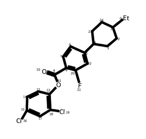 CCC1CCC(c2ccc(C(=O)Oc3ccc(Cl)cc3Cl)c(F)c2)CC1